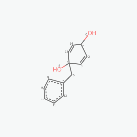 OC1C=CC(O)(Cc2ccccc2)C=C1